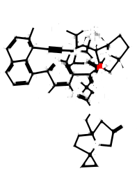 C=C1CN2C3(CC3)CCC2(COc2nc3c4c(nc(-c5cccc6ccc(F)c(C#C[Si](C(C)C)(C(C)C)C(C)C)c56)c(F)c4n2)O[C@@H](C)[C@@H]2[C@@H]4CC[C@H](CN32)N4C(=O)OC(C)(C)C)C1